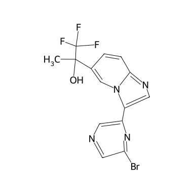 CC(O)(c1ccc2ncc(-c3cncc(Br)n3)n2c1)C(F)(F)F